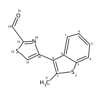 Cc1sc2ccccc2c1-c1csc(C=O)n1